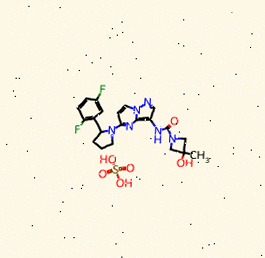 CC1(O)CN(C(=O)Nc2cnn3ccc(N4CCCC4c4cc(F)ccc4F)nc23)C1.O=S(=O)(O)O